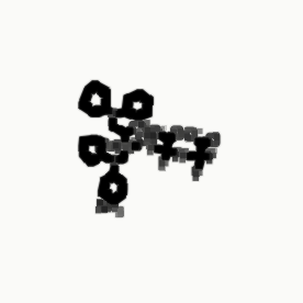 C[C](C)(C)[Pd+2]([CH2]C#N)([CH2]P(c1ccccc1)c1ccccc1)[CH](C#N)CP(c1ccccc1)c1ccccc1.N.O=C([O-])C(F)(F)F.O=C([O-])C(F)(F)F